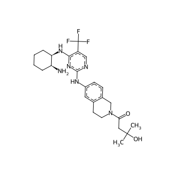 CC(C)(O)CC(=O)N1CCc2cc(Nc3ncc(C(F)(F)F)c(N[C@@H]4CCCC[C@@H]4N)n3)ccc2C1